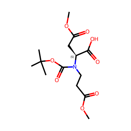 COC(=O)CCN(C(=O)OC(C)(C)C)[C@@H](CC(=O)OC)C(=O)O